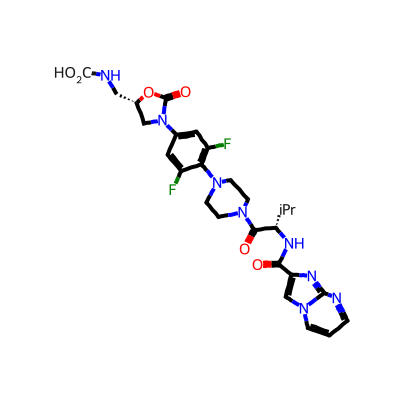 CC(C)[C@H](NC(=O)c1cn2cccnc2n1)C(=O)N1CCN(c2c(F)cc(N3C[C@H](CNC(=O)O)OC3=O)cc2F)CC1